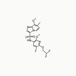 COc1nc(OCC(F)F)c(F)cc1NS(=O)(=O)c1cnc2c(OC)c(C)ccn12